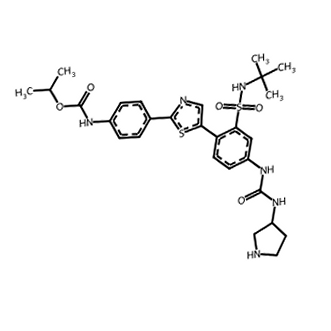 CC(C)OC(=O)Nc1ccc(-c2ncc(-c3ccc(NC(=O)NC4CCNC4)cc3S(=O)(=O)NC(C)(C)C)s2)cc1